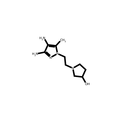 Cc1c(N)c(N)nn1CCN1CCC(O)C1